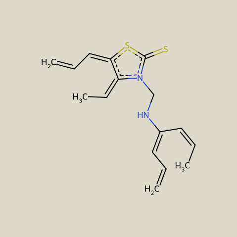 C=C/C=C(\C=C/C)NCn1c(=S)sc(=C/C=C)/c1=C\C